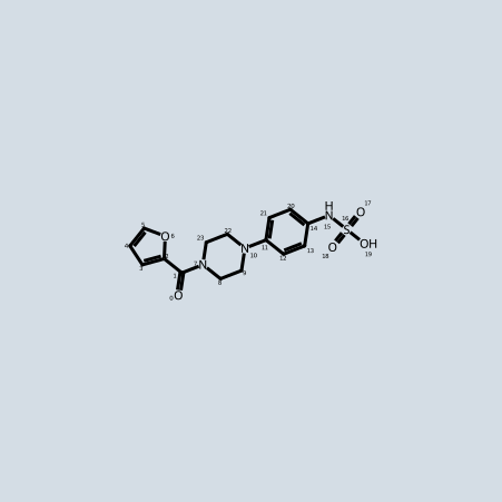 O=C(c1ccco1)N1CCN(c2ccc(NS(=O)(=O)O)cc2)CC1